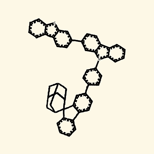 c1ccc2c(c1)-c1ccc(-c3ccc(-n4c5ccccc5c5ccc(-c6ccc7c(c6)sc6ccccc67)cc54)cc3)cc1C21C2CC3CC(C2)CC1C3